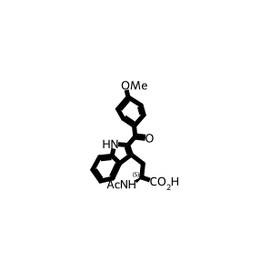 COc1ccc(C(=O)c2[nH]c3ccccc3c2C[C@H](NC(C)=O)C(=O)O)cc1